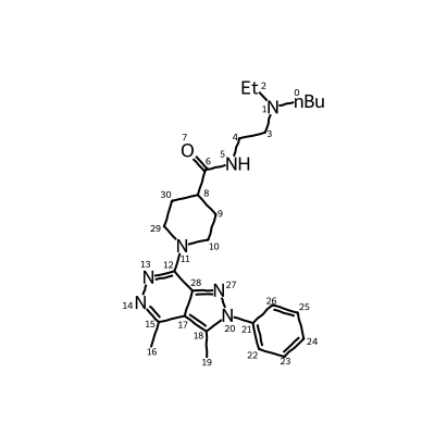 CCCCN(CC)CCNC(=O)C1CCN(c2nnc(C)c3c(C)n(-c4ccccc4)nc23)CC1